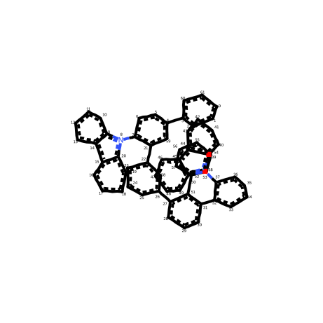 c1ccc(-c2ccc(-n3c4ccccc4c4ccccc43)c(-c3cccc(-c4cccc(-c5ccccc5-n5c6ccccc6c6ccccc65)c4-c4ccccc4)c3)c2)cc1